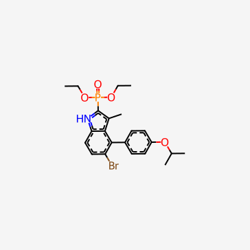 CCOP(=O)(OCC)c1[nH]c2ccc(Br)c(-c3ccc(OC(C)C)cc3)c2c1C